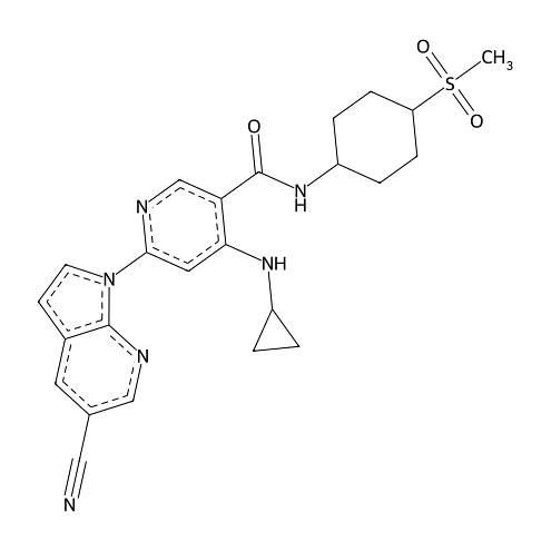 CS(=O)(=O)C1CCC(NC(=O)c2cnc(-n3ccc4cc(C#N)cnc43)cc2NC2CC2)CC1